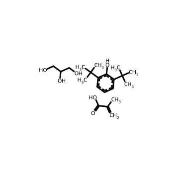 C=C(C)C(=O)O.CC(C)(C)c1cccc(C(C)(C)C)c1O.OCC(O)CO